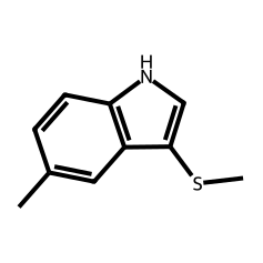 CSc1c[nH]c2ccc(C)cc12